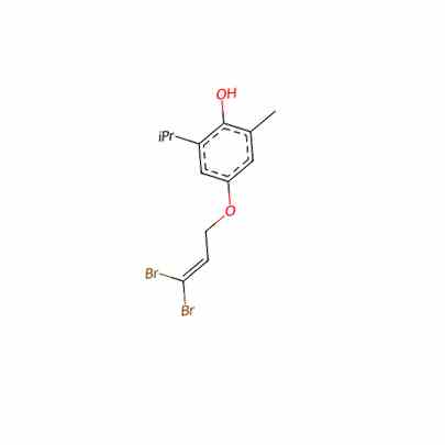 Cc1cc(OCC=C(Br)Br)cc(C(C)C)c1O